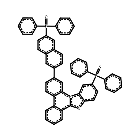 O=P(c1ccccc1)(c1ccccc1)c1ccc2cc(-c3ccc4c5ccccc5c5nc6ccc(P(=S)(c7ccccc7)c7ccccc7)cc6n5c4c3)ccc2c1